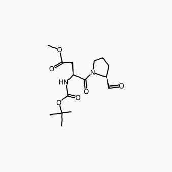 COC(=O)C[C@H](NC(=O)OC(C)(C)C)C(=O)N1CCC[C@H]1C=O